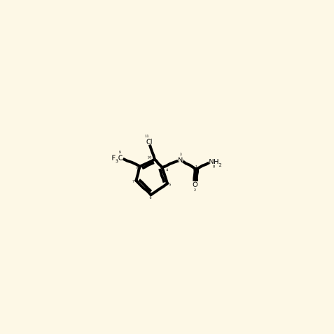 NC(=O)[N]c1cccc(C(F)(F)F)c1Cl